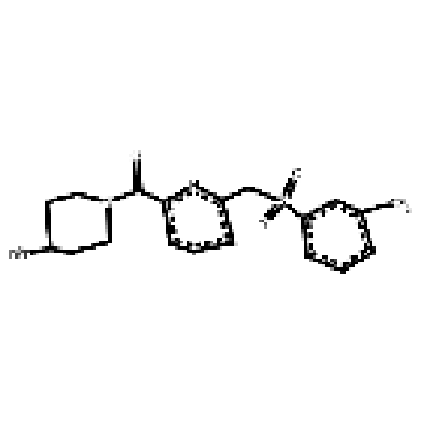 CCCC1CCN(C(=O)c2cccc(CS(=O)(=O)c3cccc(C(F)(F)F)c3)n2)CC1